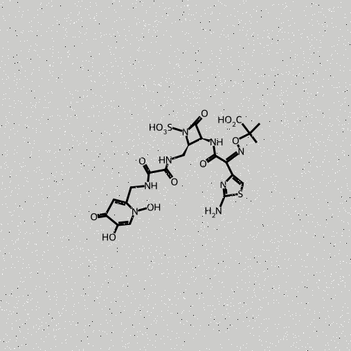 CC(C)(O/N=C(\C(=O)N[C@@H]1C(=O)N(S(=O)(=O)O)[C@@H]1CNC(=O)C(=O)NCc1cc(=O)c(O)cn1O)c1csc(N)n1)C(=O)O